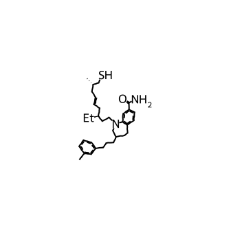 CC[C@@H](C/C=C/C[C@H](C)CS)CCN1CC(CCCc2cccc(C)c2)CCc2ccc(C(N)=O)cc21